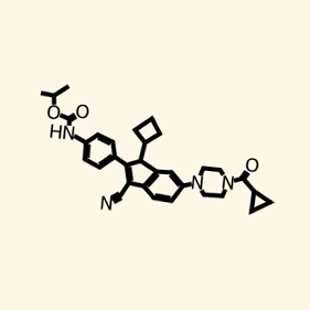 CC(C)OC(=O)Nc1ccc(C2=C(C#N)c3ccc(N4CCN(C(=O)C5CC5)CC4)cc3C2C2CCC2)cc1